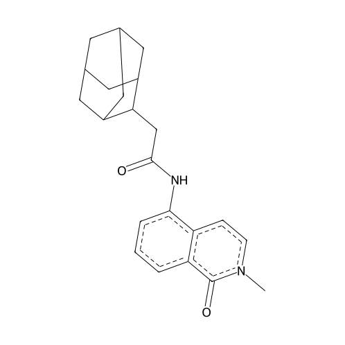 Cn1ccc2c(NC(=O)CC3C4CC5CC(C4)CC3C5)cccc2c1=O